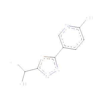 Cc1ccc(-c2nnc(C(C)C)s2)cn1